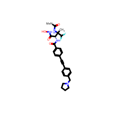 CNC(=O)NC(C)(C(F)F)[C@H](NC(=O)c1ccc(C#Cc2ccc(CN3CCCC3)cc2)cc1)C(=O)NO